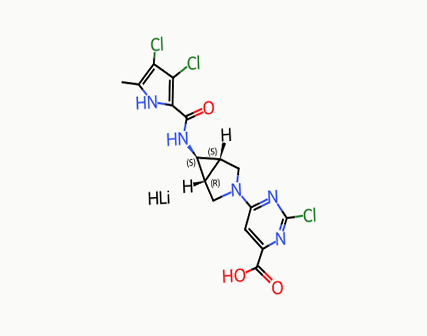 Cc1[nH]c(C(=O)N[C@H]2[C@@H]3CN(c4cc(C(=O)O)nc(Cl)n4)C[C@@H]32)c(Cl)c1Cl.[LiH]